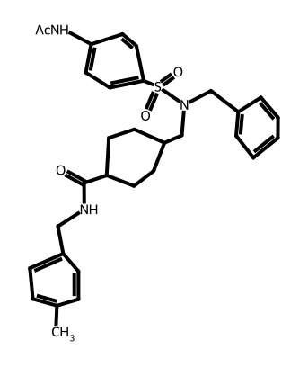 CC(=O)Nc1ccc(S(=O)(=O)N(Cc2ccccc2)CC2CCC(C(=O)NCc3ccc(C)cc3)CC2)cc1